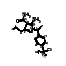 CCCc1nn(C(C)c2ccc(C(F)(F)F)cc2)c(N)c1C(N)=O